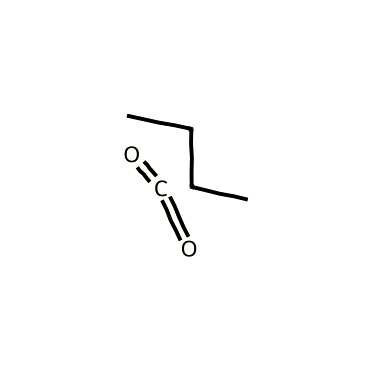 CCCC.O=C=O